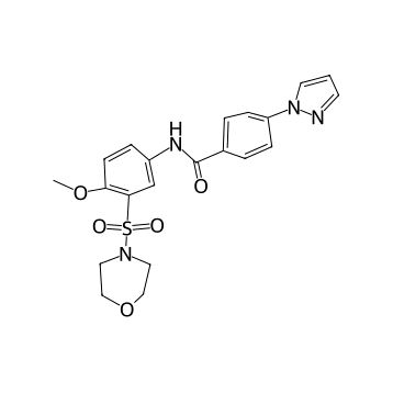 COc1ccc(NC(=O)c2ccc(-n3cccn3)cc2)cc1S(=O)(=O)N1CCOCC1